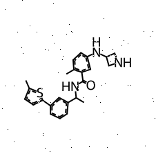 Cc1ccc(-c2cccc(C(C)NC(=O)c3cc(NC4CNC4)ccc3C)c2)s1